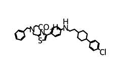 O=C(O)CN(Cc1ccccc1)Cc1nc(-c2ccc(NCCC3CCC(c4ccc(Cl)cc4)CC3)cc2)cs1